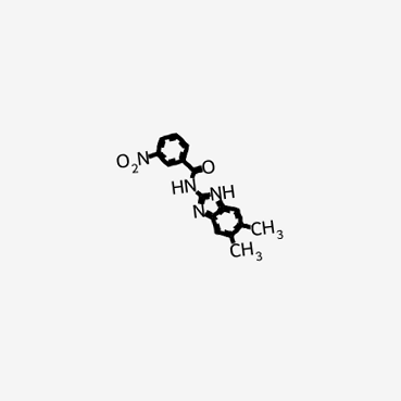 Cc1cc2nc(NC(=O)c3cccc([N+](=O)[O-])c3)[nH]c2cc1C